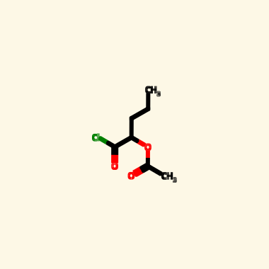 CCCC(OC(C)=O)C(=O)Cl